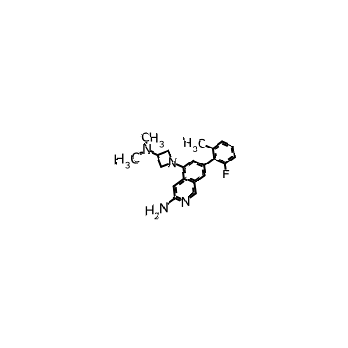 Cc1cccc(F)c1-c1cc(N2CC(N(C)C)C2)c2cc(N)ncc2c1